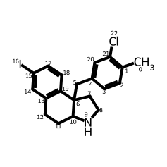 Cc1ccc(CC23CCNC2CCc2cc(I)ccc23)cc1Cl